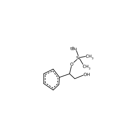 CC(C)(C)[Si](C)(C)OC(CO)c1ccccc1